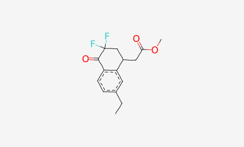 CCc1ccc2c(c1)C(CC(=O)OC)CC(F)(F)C2=O